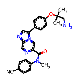 CN(C(=O)c1cn2c(-c3ccc(OC(C)(C)CN)cc3)cnc2cn1)c1ccc(C#N)cc1